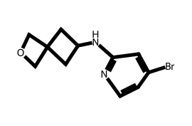 Brc1ccnc(NC2CC3(COC3)C2)c1